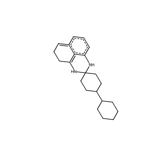 C1=c2cccc3c2=C(CC1)NC1(CCC(C2CCCCC2)CC1)N3